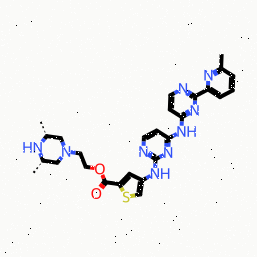 Cc1cccc(-c2nccc(Nc3ccnc(Nc4csc(C(=O)OCCN5C[C@@H](C)N[C@@H](C)C5)c4)n3)n2)n1